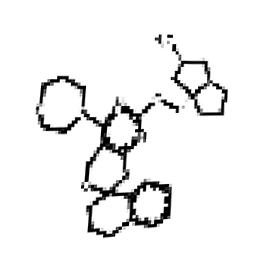 C[C@H]1CN2CCC[C@@]2(COc2nc3c(c(N4CCCCCC4)n2)COC2(CCCc4ccccc42)C3)C1